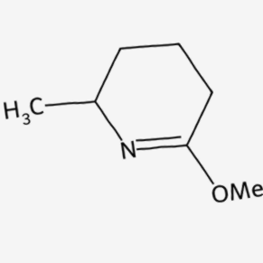 COC1=NC(C)CCC1